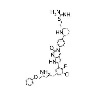 N=C(N)SCC[C@@H]1CCC[C@@H](c2ccc(-n3cc4cc(-c5cc(CCC[C@@H](N)COc6ccccc6)cc(Cl)c5F)[nH]c4nc3=O)cc2)N1